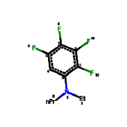 CCCN(CC)c1cc(F)c(F)c(F)c1F